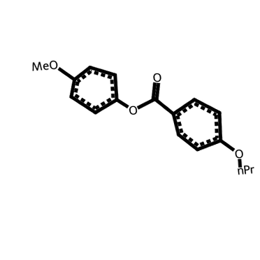 CCCOc1ccc(C(=O)Oc2ccc(OC)cc2)cc1